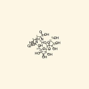 N[C@@H](Cc1c[nH]cn1)C(=O)O.OC[C@H]1O[C@@](CO)(O[C@H]2O[C@H](CO)[C@@H](O)[C@H](O)[C@H]2O)[C@@H](O)[C@@H]1O.[Cl-].[Na+]